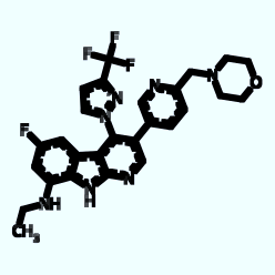 CCNc1cc(F)cc2c1[nH]c1ncc(-c3ccc(CN4CCOCC4)nc3)c(-n3ccc(C(F)(F)F)n3)c12